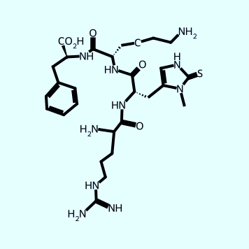 Cn1c(C[C@H](NC(=O)C(N)CCCNC(=N)N)C(=O)N[C@@H](CCCCN)C(=O)N[C@@H](Cc2ccccc2)C(=O)O)c[nH]c1=S